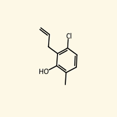 C=CCc1c(Cl)ccc(C)c1O